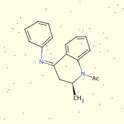 CC(=O)N1c2ccccc2/C(=N\c2ccccc2)C[C@@H]1C